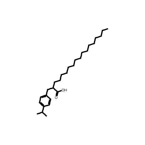 CCCCCCCCCCCCCCCCC(Cc1ccc(C(C)C)cc1)C(=O)O